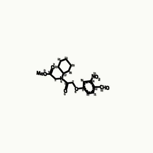 COC(=O)CN(C(=O)COc1ccc(C=O)c([N+](=O)[O-])c1)C1CCCCC1